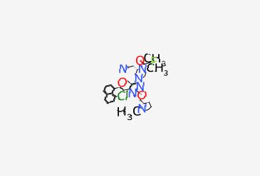 CN1CCC[C@@H]1COc1nc2c(c(N3CCN(C(=O)C(C)(C)F)[C@@H](CC#N)C3)n1)CO[C@H](c1cccc3cccc(Cl)c13)C2